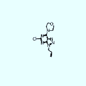 C=CCn1nnc2c(N3CCOCC3)nc(Cl)nc21